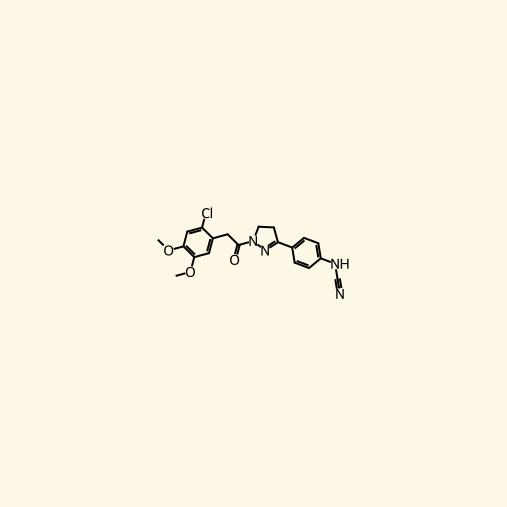 COc1cc(Cl)c(CC(=O)N2CCC(c3ccc(NC#N)cc3)=N2)cc1OC